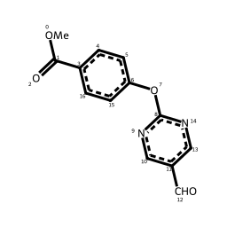 COC(=O)c1ccc(Oc2ncc(C=O)cn2)cc1